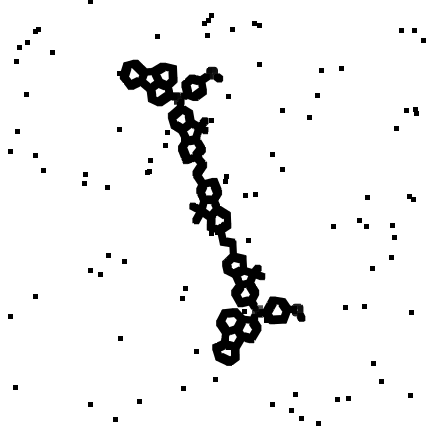 COc1ccc(N(c2ccc3c(c2)C(C)(C)c2cc(/C=C/c4ccc5c(c4)C(C)(C)c4cc(/C=C/c6ccc7c(c6)C(C)(C)c6cc(N(c8ccc(OC)cc8)c8ccc9c%10c(cccc8%10)-c8ccccc8-9)ccc6-7)ccc4-5)ccc2-3)c2ccc3c4c(cccc24)-c2ccccc2-3)cc1